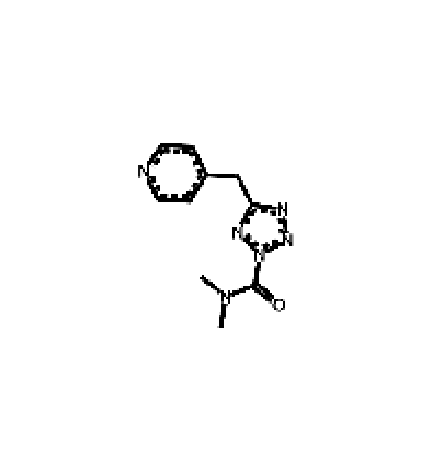 CN(C)C(=O)n1nnc(Cc2ccncc2)n1